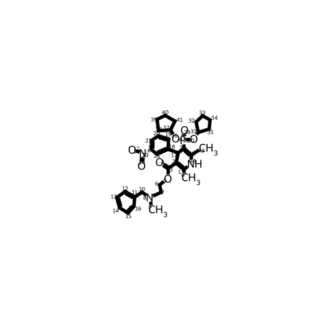 CC1=C(C(=O)OCCN(C)Cc2ccccc2)C(c2cccc([N+](=O)[O-])c2)C(P(=O)(OC2CCCC2)OC2CCCC2)=C(C)N1